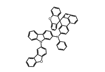 c1ccc(N(c2ccc3c(c2)C2(c4ccccc4Oc4ccccc42)c2cccc4cccc-3c24)c2ccc3c4ccccc4n(-c4ccc5oc6ccccc6c5c4)c3c2)cc1